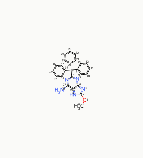 COc1nc2nc(C(c3ccccc3)(c3ccccc3)c3ccccc3)nc(N)c2[nH]1